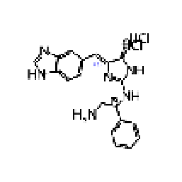 Cl.Cl.NC[C@@H](NC1=N/C(=C\c2ccc3[nH]cnc3c2)C(=O)N1)c1ccccc1